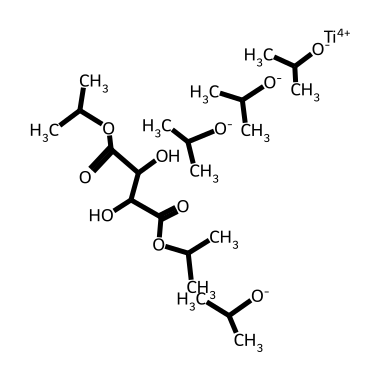 CC(C)OC(=O)C(O)C(O)C(=O)OC(C)C.CC(C)[O-].CC(C)[O-].CC(C)[O-].CC(C)[O-].[Ti+4]